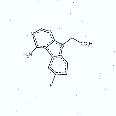 Nc1ncnc2c1c1cc(F)ccc1n2CC(=O)O